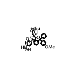 COc1ccc(C(O[C@H]2C[C@H](n3ccc(NO)nc3=O)O[C@]2(CCl)CO[Si](C)(C)C(C)(C)C)(c2ccccc2)c2ccccc2)cc1